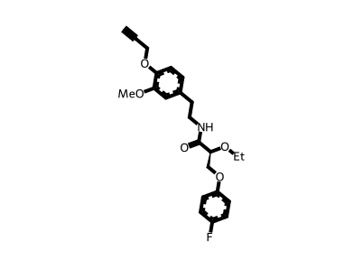 C#CCOc1ccc(CCNC(=O)[C@H](COc2ccc(F)cc2)OCC)cc1OC